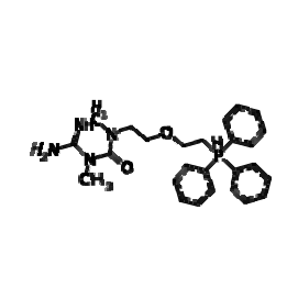 CN(CCOCC[PH](c1ccccc1)(c1ccccc1)c1ccccc1)C(=O)N(C)C(=N)N